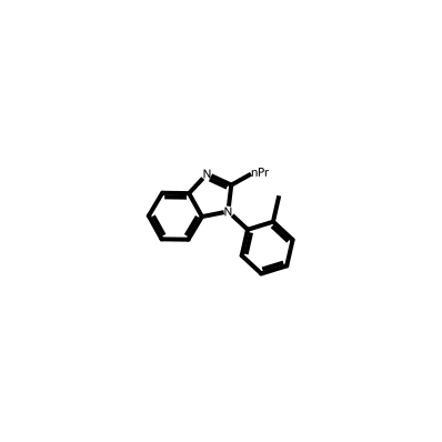 CCCc1nc2ccccc2n1-c1ccccc1C